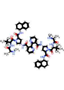 CN[C@@H](C)C(=O)NC(C(=O)N1C[C@@H](NC(=O)c2cccnc2-c2ncccc2C(=O)N[C@H]2CC(C(=O)N[C@@H]3CCCc4ccccc43)N(C(=O)[C@@H](NC(=O)[C@H](C)NC)C(C)(C)C)C2)CC1C(=O)N[C@@H]1CCCc2ccccc21)C(C)(C)C